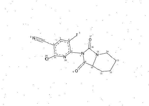 N#Cc1cc(F)c(N2C(=O)C3CCCCN3C2=O)nc1Cl